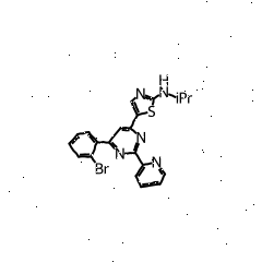 CC(C)Nc1ncc(-c2cc(-c3ccccc3Br)nc(-c3ccccn3)n2)s1